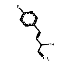 C=CC(O)C=Cc1ccc(F)cc1